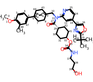 COc1ccc(C23CCC(CN(c4cc(-c5coc(C(C)(C)C)n5)ccn4)C(=O)[C@H]4CC[C@H](OC(=O)NCCCO)CC4)(CC2)CC3)cc1C